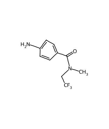 CN(CC(F)(F)F)C(=O)c1ccc(N)cc1